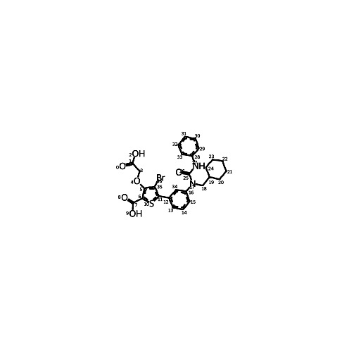 O=C(O)COc1c(C(=O)O)sc(-c2cccc(N(CC3CCCCC3)C(=O)Nc3ccccc3)c2)c1Br